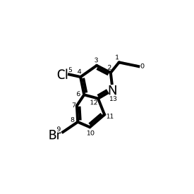 CCc1cc(Cl)c2cc(Br)ccc2n1